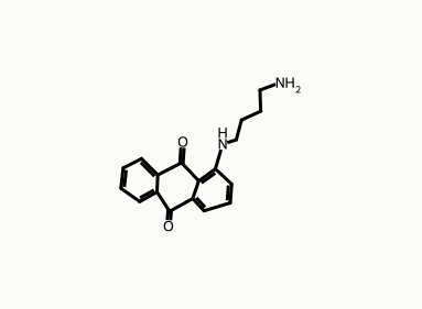 NCCCCNc1cccc2c1C(=O)c1ccccc1C2=O